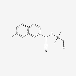 Cc1ccc2ccc(C(C#N)O[Si](C)(C)CCl)cc2c1